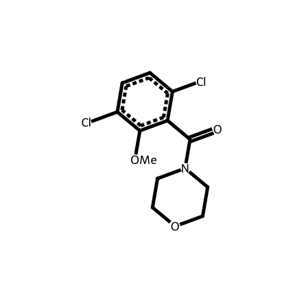 COc1c(Cl)ccc(Cl)c1C(=O)N1CCOCC1